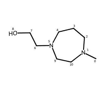 CN1CCCN(CCO)CC1